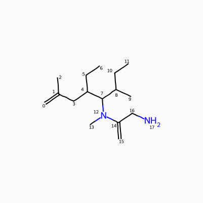 C=C(C)CC(CC)C(C(C)CC)N(C)C(=C)CN